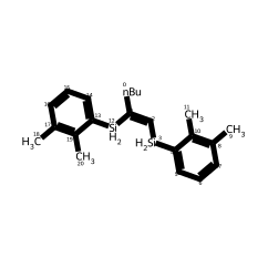 CCCCC(=C[SiH2]c1cccc(C)c1C)[SiH2]c1cccc(C)c1C